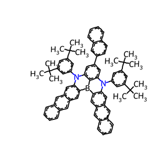 CC(C)(C)c1cc(N2c3cc4cc5ccccc5cc4cc3B3c4cc5cc6ccccc6cc5cc4N(c4cc(C(C)(C)C)cc(C(C)(C)C)c4)c4cc(-c5ccc6ccccc6c5)cc2c43)cc(C(C)(C)C)c1